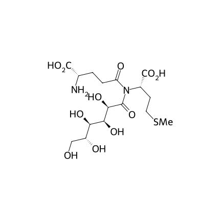 CSCC[C@@H](C(=O)O)N(C(=O)CC[C@H](N)C(=O)O)C(=O)[C@H](O)[C@@H](O)[C@H](O)[C@H](O)CO